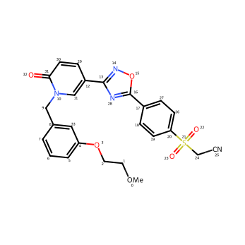 COCCOc1cccc(Cn2cc(-c3noc(-c4ccc(S(=O)(=O)CC#N)cc4)n3)ccc2=O)c1